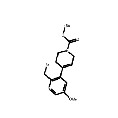 COc1cnc(CBr)c(C2=CCN(C(=O)OC(C)(C)C)CC2)c1